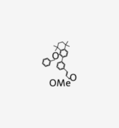 COC(=O)/C=C/c1cccc(-c2ccc3c(c2OCc2ccccc2)C(C)(C)CCC3(C)C)c1